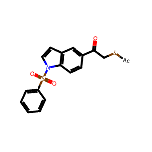 CC(=O)SCC(=O)c1ccc2c(ccn2S(=O)(=O)c2ccccc2)c1